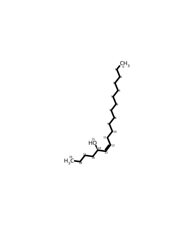 CCCCCCCCCCCC/C=C\[C@H](O)CCCC